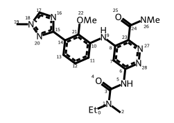 CCN(C)C(=O)Nc1cc(Nc2cccc(-c3ncn(C)n3)c2OC)c(C(=O)NC)nn1